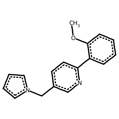 COc1ccccc1-c1ccc(Cn2cccc2)cn1